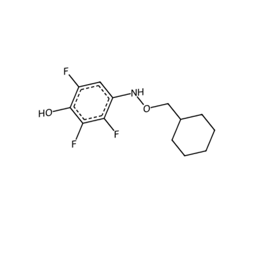 Oc1c(F)cc(NOCC2CCCCC2)c(F)c1F